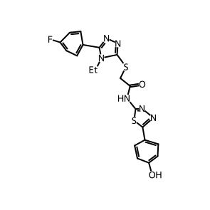 CCn1c(SCC(=O)Nc2nnc(-c3ccc(O)cc3)s2)nnc1-c1ccc(F)cc1